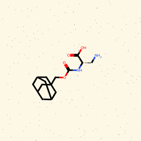 NC[C@H](NC(=O)OCC12CC3CC(CC(C3)C1)C2)C(=O)O